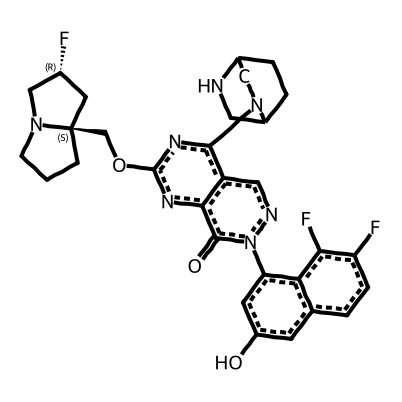 O=c1c2nc(OC[C@@]34CCCN3C[C@H](F)C4)nc(N3CC4CCC3CN4)c2cnn1-c1cc(O)cc2ccc(F)c(F)c12